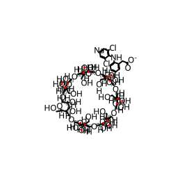 O=C([O-])Cc1ccccc1Nc1c(Cl)cccc1Cl.OC[C@H]1O[C@@H]2O[C@H]3[C@H](O)[C@@H](O)[C@@H](O[C@H]4[C@H](O)[C@@H](O)[C@@H](O[C@H]5[C@H](O)[C@@H](O)[C@@H](O[C@H]6[C@H](O)[C@@H](O)[C@@H](O[C@H]7[C@H](O)[C@@H](O)[C@@H](O[C@H]8[C@H](O)[C@@H](O)[C@@H](O[C@H]1[C@H](O)[C@H]2O)O[C@@H]8CO)O[C@@H]7CO)O[C@@H]6CO)O[C@@H]5CO)O[C@@H]4CO)O[C@@H]3CO.[Na+]